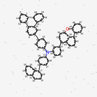 c1ccc(-c2ccc(-c3ccc(N(c4ccc(-c5cccc6ccccc56)cc4)c4cccc(-c5ccc6c7c(cccc57)-c5ccccc5O6)c4)cc3)cc2-c2ccccc2)cc1